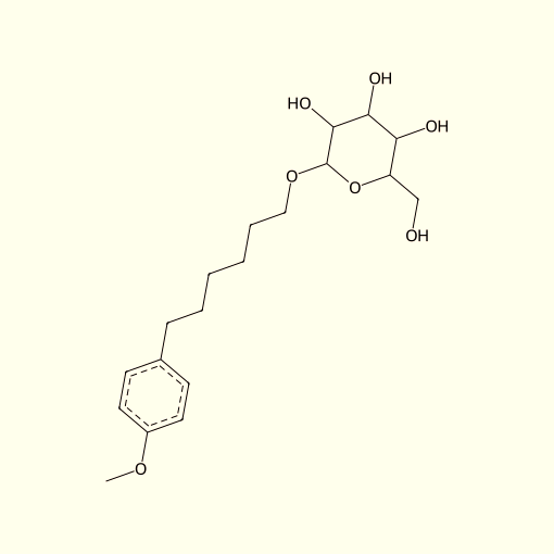 COc1ccc(CCCCCCOC2OC(CO)C(O)C(O)C2O)cc1